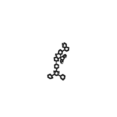 c1ccc(-c2cc(-c3ccccc3)nc(-c3ccc(-c4ccc5c(c4)C4(c6cc(-c7cccc8ccncc78)ccc6S5)c5ccccc5-c5ccccc54)cc3)n2)cc1